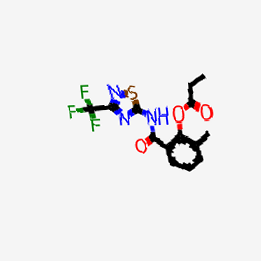 CCC(=O)Oc1c(C)cccc1C(=O)Nc1nc(C(F)(F)F)ns1